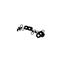 CCC(C)(C)C(=O)OC1CC2CC1C1C3CC(CC3C(=O)OCOC34CCCCC35CC3CC(C5)C(=O)C4C3)C21